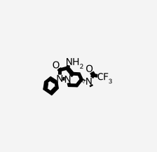 CN(C(=O)C(F)(F)F)[C@@H]1CCn2c(c(N)c(=O)n2-c2ccccc2)C1